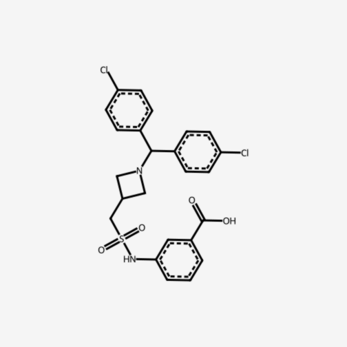 O=C(O)c1cccc(NS(=O)(=O)CC2CN(C(c3ccc(Cl)cc3)c3ccc(Cl)cc3)C2)c1